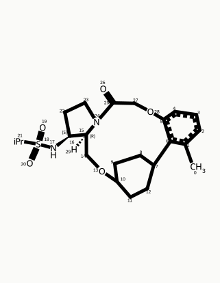 Cc1cccc2c1C1CCC(CC1)OC[C@H]1[C@@H](NS(=O)(=O)C(C)C)CCN1C(=O)CO2